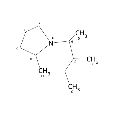 CCC(C)C(C)N1CCCC1C